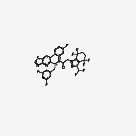 O=C(Cn1nc(C(F)F)c2c1C(F)(F)CCC2(F)F)N[C@H](Cc1cc(F)cc(F)c1)c1nc2ncsc2cc1-c1ccc(F)cc1